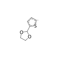 [c]1ccc(C2OCCO2)s1